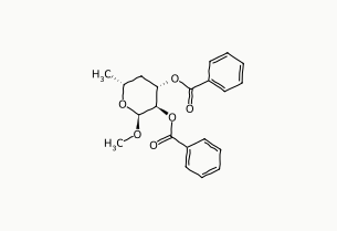 CO[C@H]1O[C@H](C)C[C@H](OC(=O)c2ccccc2)[C@H]1OC(=O)c1ccccc1